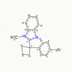 Cn1c(C2(c3ccc(Br)cc3)CCC2)nc2ccccc21